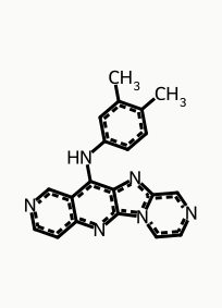 Cc1ccc(Nc2c3cnccc3nc3c2nc2cnccn23)cc1C